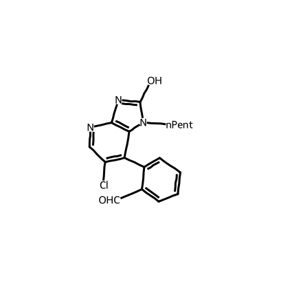 CCCCCn1c(O)nc2ncc(Cl)c(-c3ccccc3C=O)c21